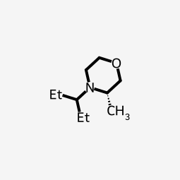 CCC(CC)N1CCOC[C@@H]1C